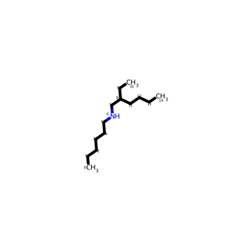 CCCCCCNCC(CC)CCCC